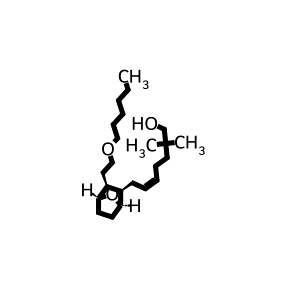 CCCCCCOCC[C@H]1[C@@H](C/C=C\CCC(C)(C)CO)[C@H]2CC[C@@H]1O2